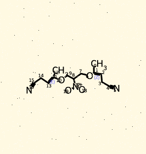 C/C(=C/CC#N)OCC(CO/C(C)=C/CC#N)[N+](=O)[O-]